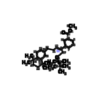 COC(=O)c1cccc(/C(=C/CCc2ccc3c(c2)C(C)(C)CCC3(C)C)CO[Si](C)(C)C(C)(C)C)c1